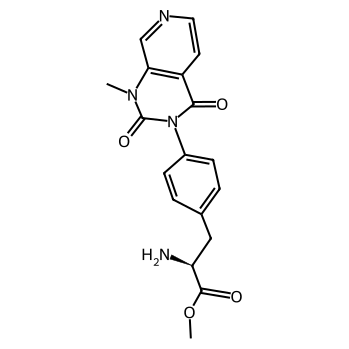 COC(=O)[C@@H](N)Cc1ccc(-n2c(=O)c3ccncc3n(C)c2=O)cc1